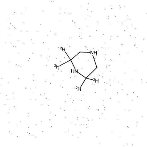 [2H]C1([2H])CNCC([2H])([2H])N1